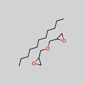 C(OCC1CO1)C1CO1.CCCCCCCCCCC